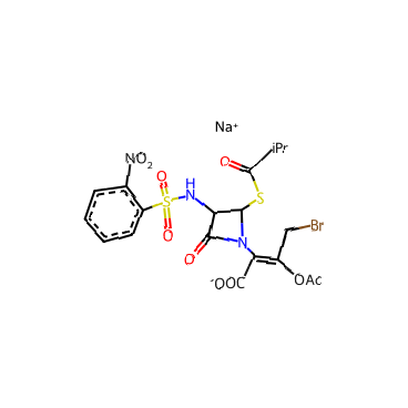 CC(=O)OC(CBr)=C(C(=O)[O-])N1C(=O)C(NS(=O)(=O)c2ccccc2[N+](=O)[O-])C1SC(=O)C(C)C.[Na+]